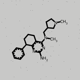 CN1CCC(CN(C)c2nc(N)nc3c2CCCC3c2ccccc2)C1